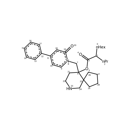 CCCCCCC(CCC)C(=O)OC1(Cn2ccc(-c3ccccc3)cc2=O)CCNCC12CCCC2